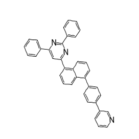 c1ccc(-c2cc(-c3cccc4c(-c5ccc(-c6cccnc6)cc5)cccc34)nc(-c3ccccc3)n2)cc1